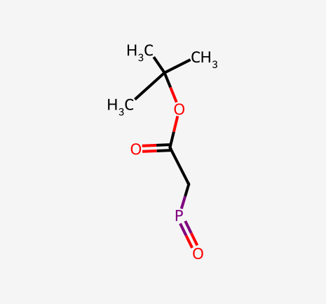 CC(C)(C)OC(=O)CP=O